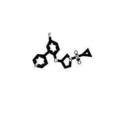 O=S(=O)(C1CC1)N1CCC(Oc2ccc(F)cc2-c2ccncc2)C1